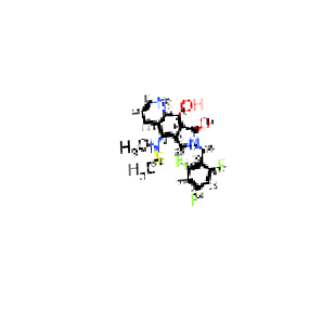 CSN(C)c1c2c(c(O)c3ncccc13)C(=O)N(Cc1c(F)cc(F)cc1F)C2